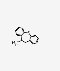 CC1Cc2ccccc2Sc2ccccc21